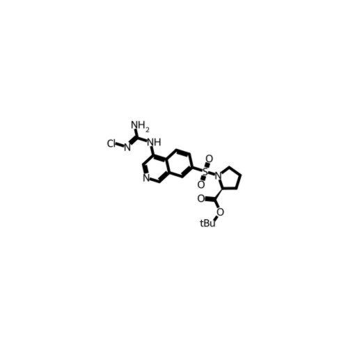 CC(C)(C)OC(=O)[C@@H]1CCCN1S(=O)(=O)c1ccc2c(NC(N)=NCl)cncc2c1